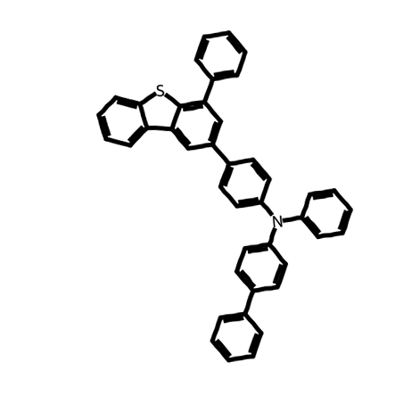 c1ccc(-c2ccc(N(c3ccccc3)c3ccc(-c4cc(-c5ccccc5)c5sc6ccccc6c5c4)cc3)cc2)cc1